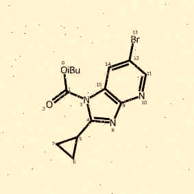 CC(C)COC(=O)n1c(C2CC2)nc2ncc(Br)cc21